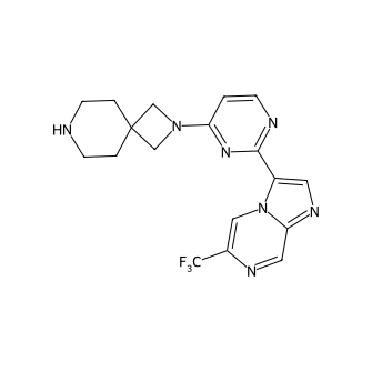 FC(F)(F)c1cn2c(-c3nccc(N4CC5(CCNCC5)C4)n3)cnc2cn1